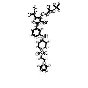 COC(=O)c1sc(-c2cccc(NC3CCN(S(=O)(=O)CCn4ccnc4)CC3)c2)c(Br)c1OCC(=O)OC(C)(C)C